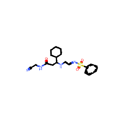 N#CCNC(=O)CC(NCC=NS(=O)(=O)c1ccccc1)C1CCCCC1